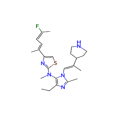 CCc1nc(C)n(/C=C(\C)C2CCNCC2)c1N(C)c1nc(/C(C)=C/C=C(\C)F)cs1